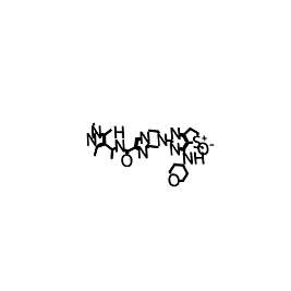 Cc1nn(C)c(C)c1C(C)NC(=O)c1cn2c(n1)CN(c1nc3c(c(NC4CCOCC4)n1)[S+]([O-])CC3)CC2